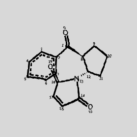 O=C(c1ccccc1)[C@H]1CCC[C@@H]1N1C(=O)C=CC1=O